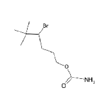 CC(C)(C)C(Br)CCCOC(N)=O